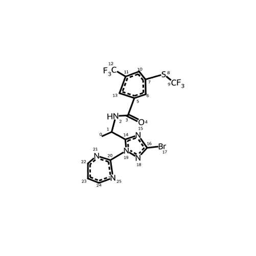 CC(NC(=O)c1cc(SC(F)(F)F)cc(C(F)(F)F)c1)c1nc(Br)nn1-c1ncccn1